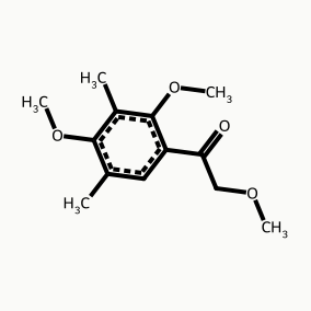 COCC(=O)c1cc(C)c(OC)c(C)c1OC